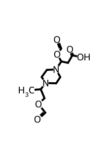 CC(COC=O)N1CCN(C(CC(=O)O)OC=O)CC1